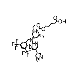 CC[C@@H]1C[C@H](N(Cc2cc(C(F)(F)F)cc(C(F)(F)F)c2)c2ncc(C3C=NN(C)C3)cn2)C[C@H](CC)N1C(=O)OCCCCC(=O)O